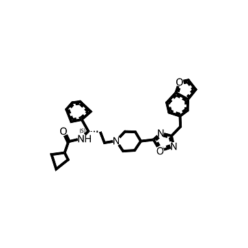 O=C(N[C@@H](CCN1CCC(c2nc(Cc3ccc4occc4c3)no2)CC1)c1ccccc1)C1CCC1